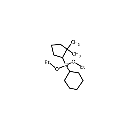 CCO[Si](OCC)(C1CCCCC1)C1CCCC1(C)C